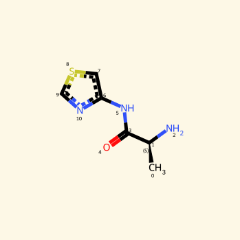 C[C@H](N)C(=O)Nc1cscn1